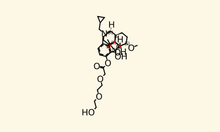 CO[C@@]12CC[C@@]3(C[C@@H]1[C@](C)(O)C(C)(C)C)[C@H]1Cc4ccc(OC(=O)COCCOCCO)c5c4[C@@]3(CCN1CC1CC1)[C@H]2O5